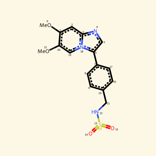 COc1cc2ncc(-c3ccc(CN[SH](=O)=O)cc3)n2cc1OC